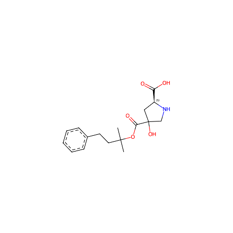 CC(C)(CCc1ccccc1)OC(=O)C1(O)CN[C@H](C(=O)O)C1